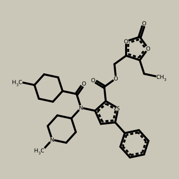 CCc1oc(=O)oc1COC(=O)c1sc(-c2ccccc2)cc1N(C(=O)C1CCC(C)CC1)C1CCN(C)CC1